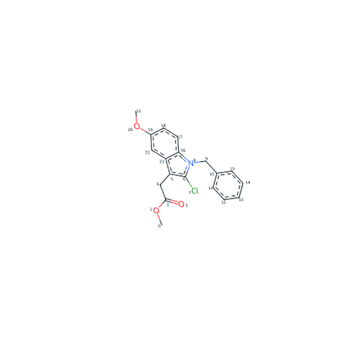 COC(=O)Cc1c(Cl)n(Cc2ccccc2)c2ccc(OC)cc12